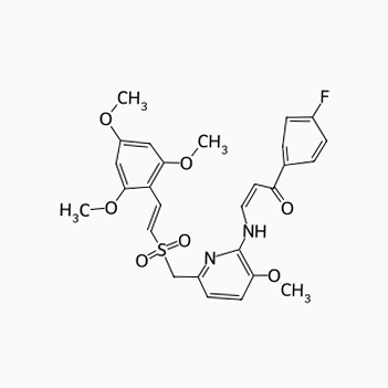 COc1cc(OC)c(/C=C/S(=O)(=O)Cc2ccc(OC)c(N/C=C\C(=O)c3ccc(F)cc3)n2)c(OC)c1